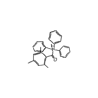 Cc1cc(C)c(C(=O)[PH](c2ccccc2)(c2ccccc2)c2ccccc2)c(C)c1